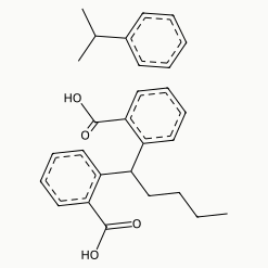 CC(C)c1ccccc1.CCCCC(c1ccccc1C(=O)O)c1ccccc1C(=O)O